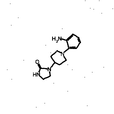 Nc1ccccc1N1CCC(N2CCNC2=O)CC1